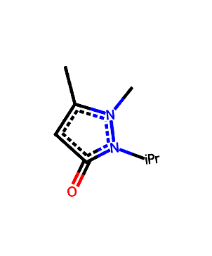 Cc1cc(=O)n(C(C)C)n1C